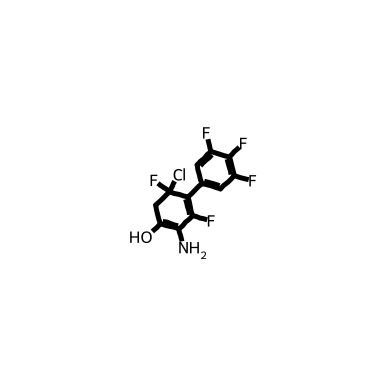 NC1=C(O)CC(F)(Cl)C(c2cc(F)c(F)c(F)c2)=C1F